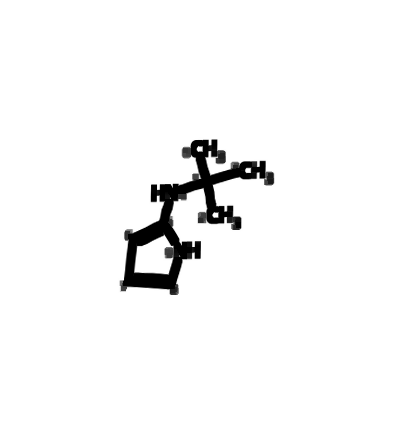 CC(C)(C)Nc1ccc[nH]1